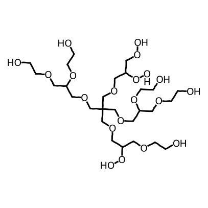 OCCOCC(COCC(COCC(COO)OO)(COCC(COCCO)OCCO)COCC(COCCO)OCCO)OO